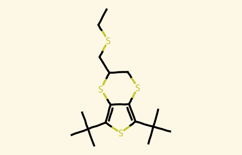 CCSCC1CSc2c(C(C)(C)C)sc(C(C)(C)C)c2S1